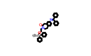 CC(C)(C)[Si](OCCN1CCc2ccc(N=C(c3ccccc3)c3ccccc3)cc2CC1=O)(c1ccccc1)c1ccccc1